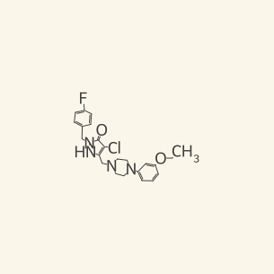 CCOc1cccc(N2CCN(Cc3[nH]n(Cc4ccc(F)cc4)c(=O)c3Cl)CC2)c1